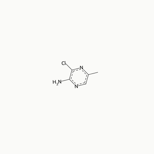 Cc1cnc(N)c(Cl)n1